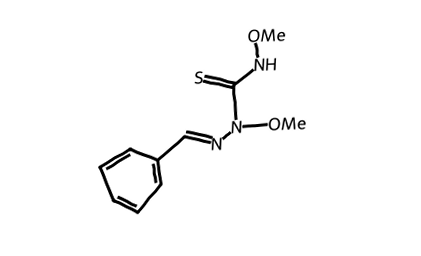 CONC(=S)N(N=Cc1ccccc1)OC